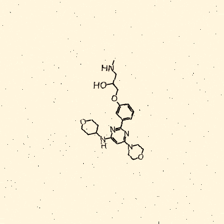 CNCC(O)COc1cccc(-c2nc(NC3CCOCC3)cc(N3CCOCC3)n2)c1